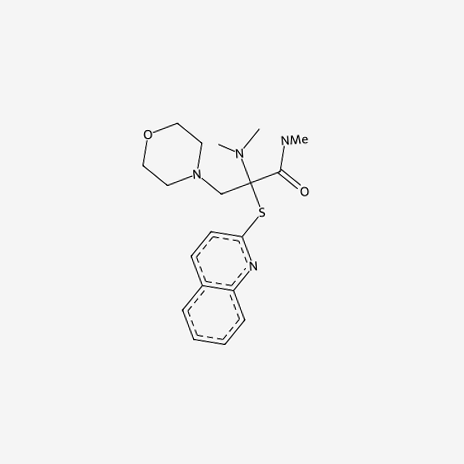 CNC(=O)C(CN1CCOCC1)(Sc1ccc2ccccc2n1)N(C)C